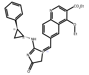 CCOC(=O)c1cnc2ccc(/C=S3/CC(=O)N=C3N[C@@H]3C[C@H]3c3ccccc3)cc2c1OCC